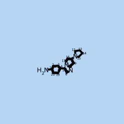 Nc1ccc(-c2cnc3cc(N4CCCC4)ccn23)cc1